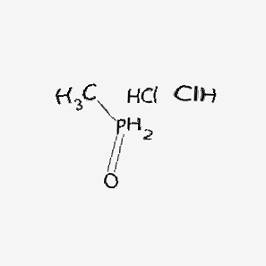 C[PH2]=O.Cl.Cl